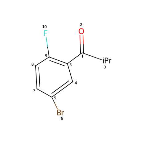 CC(C)C(=O)c1cc(Br)ccc1F